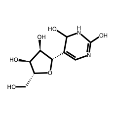 OC[C@H]1O[C@@H](C2=CN=C(O)NC2O)[C@H](O)[C@@H]1O